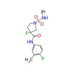 Cc1cc(NC(=O)C2(F)CCN(S(=O)(=O)NC(C)C)C2)ccc1F